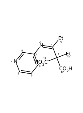 CCC(=Nc1cccnc1)C(CC)(C(=O)O)C(=O)O